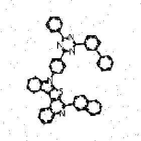 c1ccc(-c2cccc(-c3nc(-c4ccccc4)nc(-c4ccc(-n5c6ccccc6c6c7c(sc65)c(-c5ccc6ccccc6c5)nc5ccccc57)cc4)n3)c2)cc1